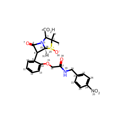 CC1(C)C(C(=O)O)N2C(=O)C(c3ccccc3OCC(=O)NCc3ccc([N+](=O)[O-])cc3)[C@@H]2[S+]1[O-]